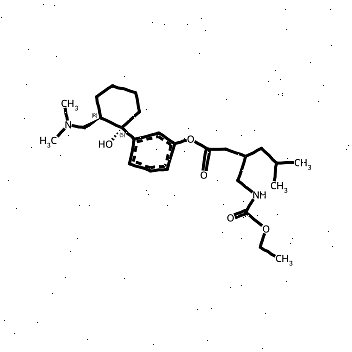 CCOC(=O)NCC(CC(=O)Oc1cccc([C@]2(O)CCCC[C@@H]2CN(C)C)c1)CC(C)C